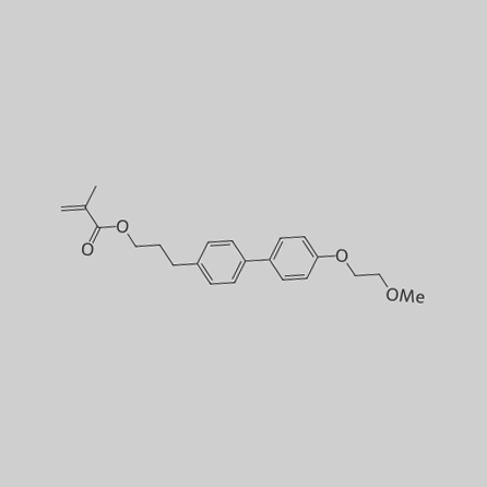 C=C(C)C(=O)OCCCc1ccc(-c2ccc(OCCOC)cc2)cc1